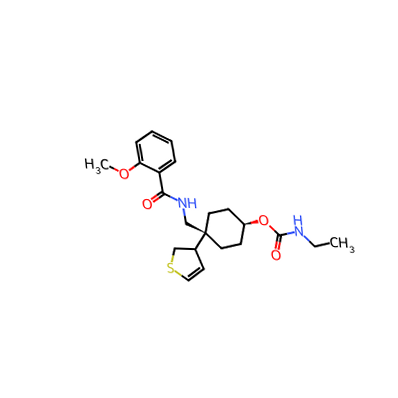 CCNC(=O)O[C@H]1CC[C@](CNC(=O)c2ccccc2OC)(C2C=CSC2)CC1